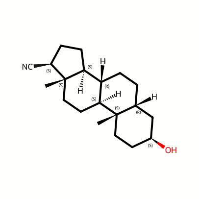 C[C@]12CC[C@H](O)C[C@H]1CC[C@@H]1[C@@H]2CC[C@]2(C)[C@@H](C#N)CC[C@@H]12